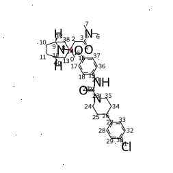 CC(CC(=O)N(C)C)N1[C@@H]2CC[C@H]1C[C@@H](Oc1ccc(NC(=O)N3CCC(c4ccc(Cl)cc4)CC3)cc1)C2